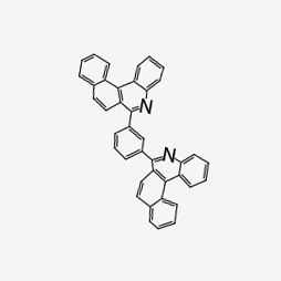 c1cc(-c2nc3ccccc3c3c2ccc2ccccc23)cc(-c2nc3ccccc3c3c2ccc2ccccc23)c1